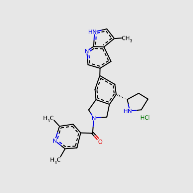 Cc1cc(C(=O)N2Cc3cc(-c4cnc5[nH]cc(C)c5c4)cc([C@@H]4CCCN4)c3C2)cc(C)n1.Cl